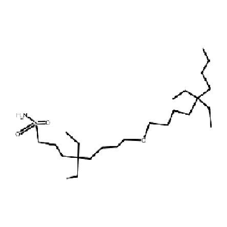 CCCCC(CC)(CC)CCCCOCCCCC(CC)(CC)CCCS(N)(=O)=O